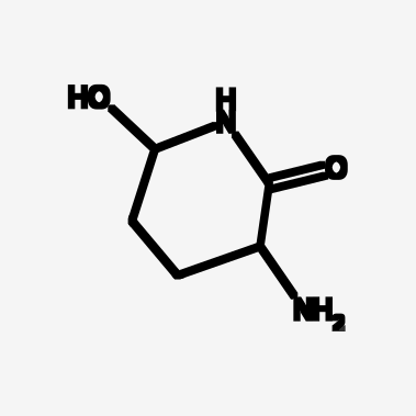 NC1CCC(O)NC1=O